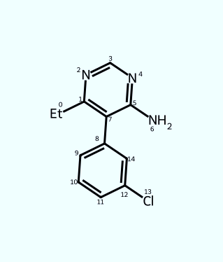 CCc1ncnc(N)c1-c1cccc(Cl)c1